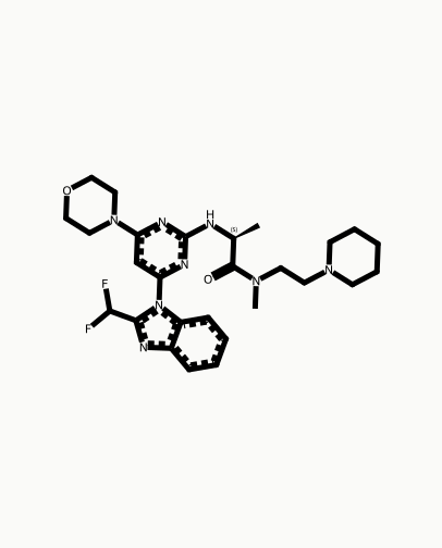 C[C@H](Nc1nc(N2CCOCC2)cc(-n2c(C(F)F)nc3ccccc32)n1)C(=O)N(C)CCN1CCCCC1